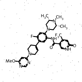 COc1cc(N2CC=C(c3cc(NC(=O)c4c[nH]c(=O)cc4C(F)(F)F)c(N4C[C@@H](C)N(C)[C@@H](C)C4)cc3F)CC2)ncn1